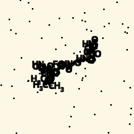 C[C@@H]1CN(c2ccc(-c3cc(C(=O)NCCOCCNc4cccc5c4C(=O)N(C4CCC(=O)NC4=O)C5=O)ccc3F)cc2NC(=O)c2c[nH]c(=O)cc2C(F)(F)F)C[C@H](C)N1C